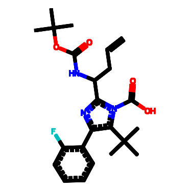 C=CCC(NC(=O)OC(C)(C)C)c1nc(-c2ccccc2F)c(C(C)(C)C)n1C(=O)O